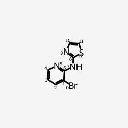 Brc1cccnc1Nc1nccs1